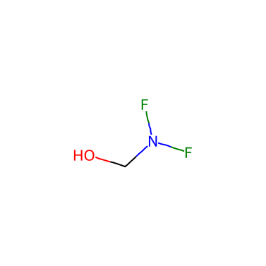 OCN(F)F